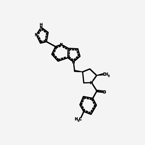 Cc1ccc(C(=O)N2C[C@@H](Cn3ccc4nc(-c5cn[nH]c5)ccc43)C[C@H]2C)cc1